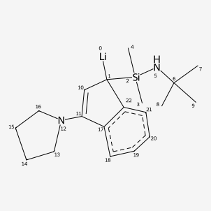 [Li][C]1([Si](C)(C)NC(C)(C)C)C=C(N2CCCC2)c2ccccc21